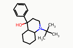 CC(C)(C)N1CCC(O)(c2ccccc2)C2CCCCC21